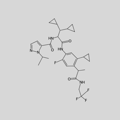 CC(C(=O)NCC(F)(F)F)c1cc(F)c(NC(=O)C(NC(=O)c2ccnn2C(C)C)C(C2CC2)C2CC2)cc1C1CC1